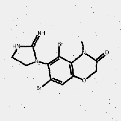 CN1C(=O)COc2cc(Br)c(N3CCNC3=N)c(Br)c21